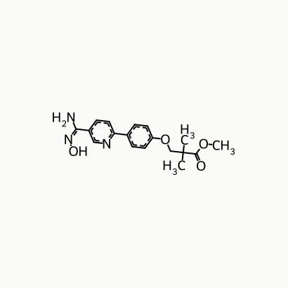 COC(=O)C(C)(C)COc1ccc(-c2ccc(/C(N)=N\O)cn2)cc1